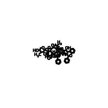 CC(=O)O[C@H]1C(=O)[C@]2(C)[C@@H](OC3OC[C@@H](O)[C@H](C)[C@H]3O)C[C@H]3OC[C@@]3(OC(C)=O)[C@H]2[C@H](OC(=O)c2ccccc2)[C@]2(O)C[C@H](OC(=O)[C@H](O)[C@@H](NC(=O)c3ccccc3)c3ccccc3)C(C)=C1C2(C)C